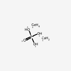 O=P(O)(O)O.[CaH2].[GeH4]